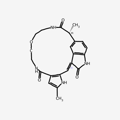 Cc1cc2c([nH]1)/C=C1\C(=O)Nc3ccc(cc31)[C@@H](C)C(=O)NCCOCCNC2=O